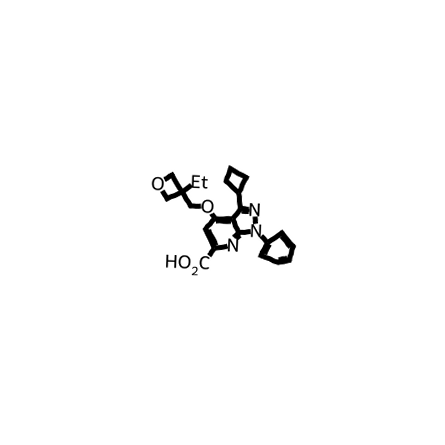 CCC1(COc2cc(C(=O)O)nc3c2c(C2CCC2)nn3-c2ccccc2)COC1